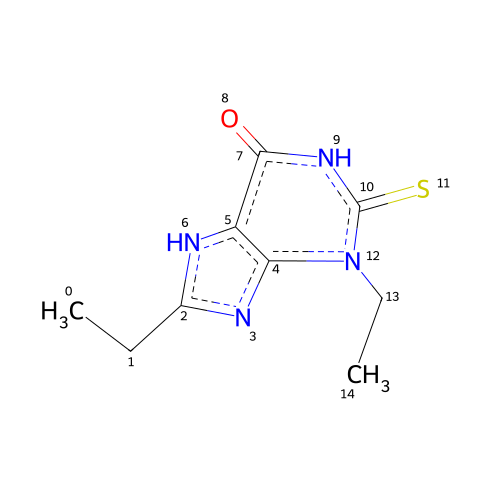 CCc1nc2c([nH]1)c(=O)[nH]c(=S)n2CC